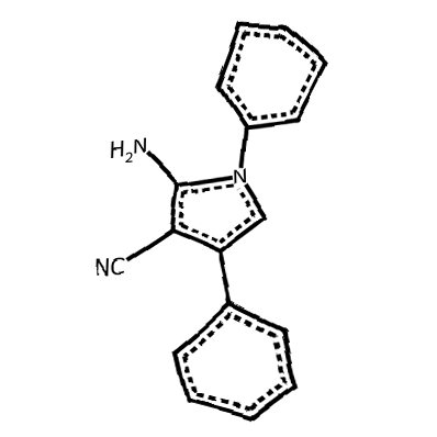 N#Cc1c(-c2ccccc2)cn(-c2ccccc2)c1N